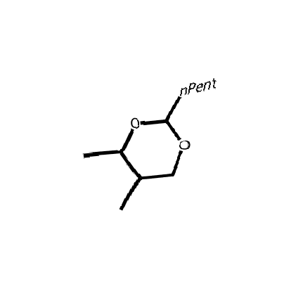 CCCCCC1OCC(C)C(C)O1